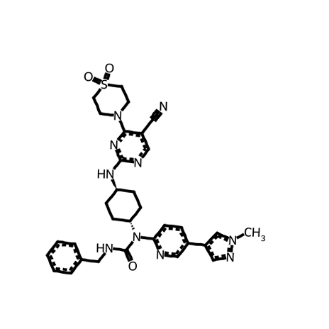 Cn1cc(-c2ccc(N(C(=O)NCc3ccccc3)[C@H]3CC[C@H](Nc4ncc(C#N)c(N5CCS(=O)(=O)CC5)n4)CC3)nc2)cn1